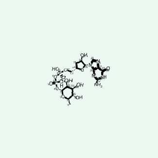 C[C@H]1O[C@H](OP(=O)(O)OP(=O)(O)OC[C@@H]2C[C@@H](O)[C@H](n3cnc4c(=O)[nH]c(N)nc43)O2)[C@@H](O)[C@@H](O)[C@@H]1O